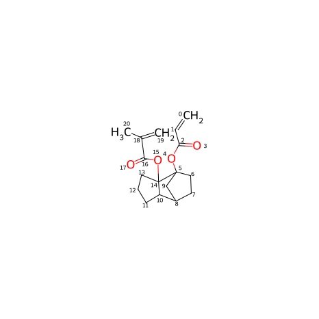 C=CC(=O)OC12CCC(C1)C1CCCC12OC(=O)C(=C)C